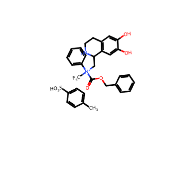 Cc1ccc(S(=O)(=O)O)cc1.O=C(OCc1ccccc1)[N+](CC1NCCc2cc(O)c(O)cc21)(c1ccccc1)C(F)(F)F